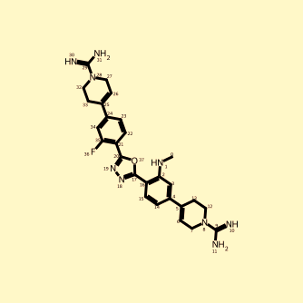 CNc1cc(C2=CCN(C(=N)N)CC2)ccc1-c1nnc(-c2ccc(C3=CCN(C(=N)N)CC3)cc2F)o1